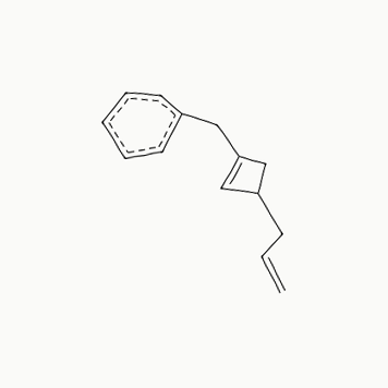 C=CCC1C=C(Cc2ccccc2)C1